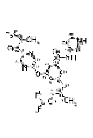 C[C@@H](COC(F)F)Oc1cc(Oc2cnc(C(=O)N(C)C)cn2)cc(C(=O)Nc2cc[nH]n2)c1